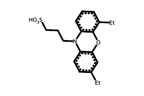 CCc1ccc2c(c1)Oc1c(CC)cccc1N2CCCS(=O)(=O)O